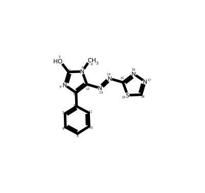 Cn1c(O)nc(-c2ccccc2)c1/N=N/c1nncs1